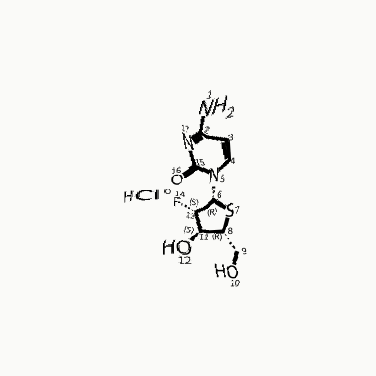 Cl.Nc1ccn([C@@H]2S[C@H](CO)[C@@H](O)[C@@H]2F)c(=O)n1